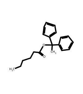 CCCCCC(=O)OC(C)(c1ccccc1)c1ccccc1